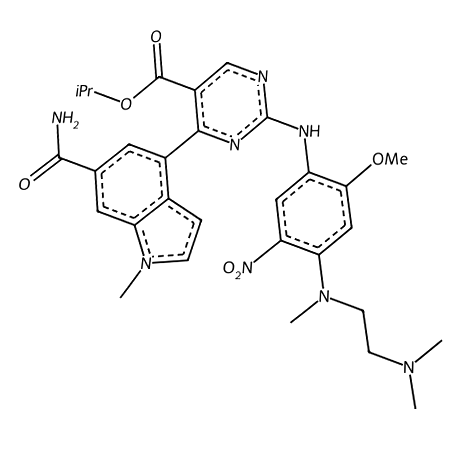 COc1cc(N(C)CCN(C)C)c([N+](=O)[O-])cc1Nc1ncc(C(=O)OC(C)C)c(-c2cc(C(N)=O)cc3c2ccn3C)n1